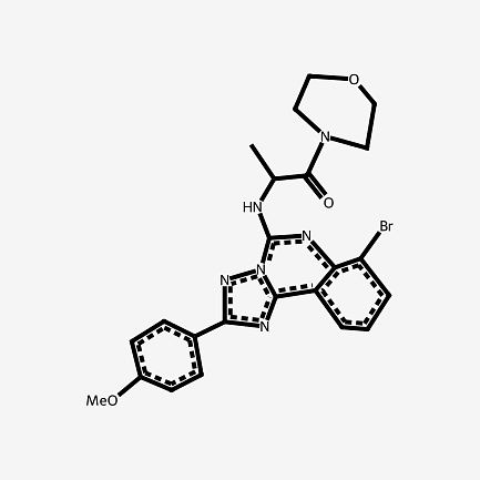 COc1ccc(-c2nc3c4cccc(Br)c4nc(NC(C)C(=O)N4CCOCC4)n3n2)cc1